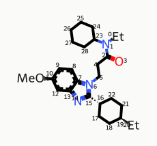 CCN(C(=O)CCn1c2ccc(OC)cc2nc1[C@H]1CC[C@H](CC)CC1)C1CCCCC1